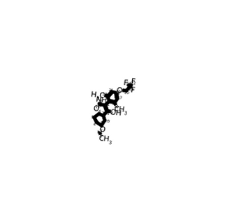 CCO[C@H]1CCCC(/C(O)=C(\C(N)=O)c2c(C)cc(OCC(F)(F)F)cc2C)C1